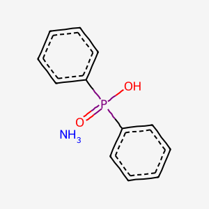 N.O=P(O)(c1ccccc1)c1ccccc1